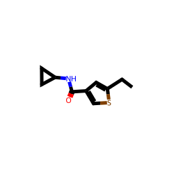 CCc1cc(C(=O)NC2CC2)cs1